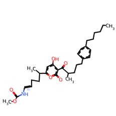 CCCCCCc1ccc(CCCC(C)C(=O)c2c(O)cc(C(C)CC/C=C/NC(=O)OC)oc2=O)cc1